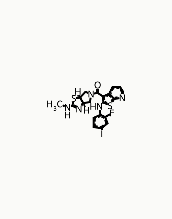 CNC1=N[C@H]2CN(C(=O)c3c(Nc4ccc(I)cc4F)sc4ncccc34)C[C@H]2S1